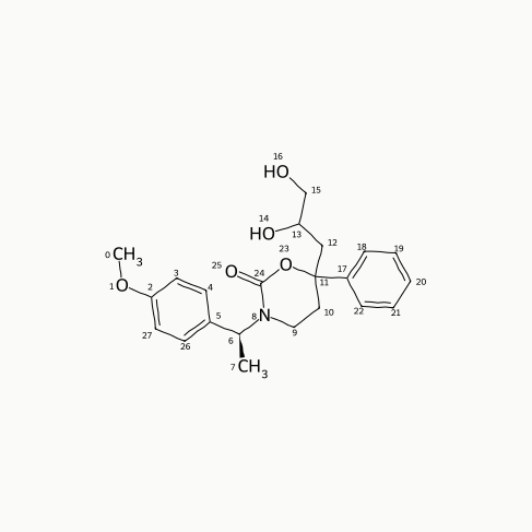 COc1ccc([C@H](C)N2CCC(CC(O)CO)(c3ccccc3)OC2=O)cc1